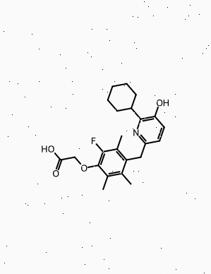 Cc1c(C)c(OCC(=O)O)c(F)c(C)c1Cc1ccc(O)c(C2CCCCC2)n1